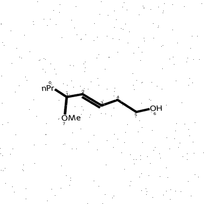 CCCC(/C=C/CCO)OC